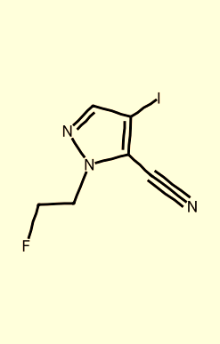 N#Cc1c(I)cnn1CCF